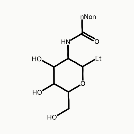 CCCCCCCCCC(=O)NC1C(CC)OC(CO)C(O)C1O